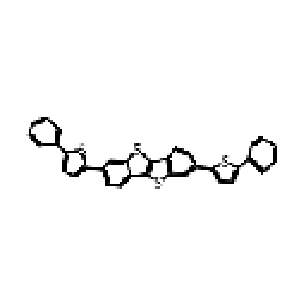 c1ccc(-c2ccc(-c3ccc4c(c3)sc3c5ccc(-c6ccc(-c7ccccc7)s6)cc5sc43)s2)cc1